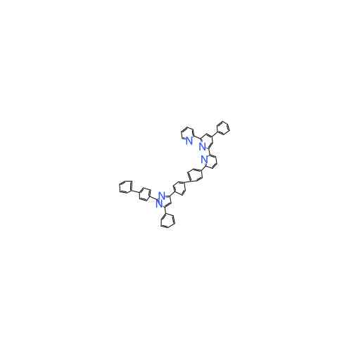 c1ccc(-c2ccc(-c3nc(-c4ccccc4)cc(-c4ccc(-c5ccc(-c6cccc(-c7cc(-c8ccccc8)cc(-c8ccccn8)n7)n6)cc5)cc4)n3)cc2)cc1